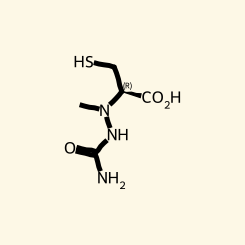 CN(NC(N)=O)[C@@H](CS)C(=O)O